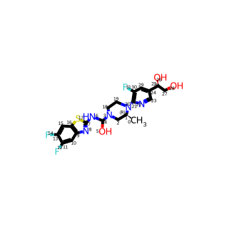 C[C@@H]1CN(C(O)Nc2nc3cc(F)c(F)cc3s2)CCN1c1ncc([C@H](O)CO)cc1F